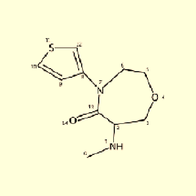 CNC1COCCN(c2ccsc2)C1=O